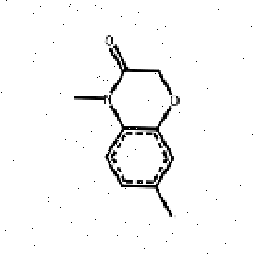 [CH2]c1ccc2c(c1)OCC(=O)N2C